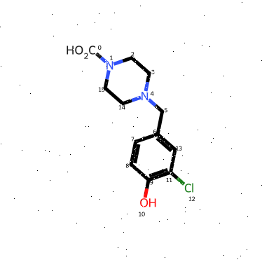 O=C(O)N1CCN(Cc2ccc(O)c(Cl)c2)CC1